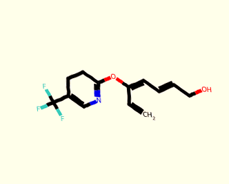 C=C/C(=C\C=C\CO)OC1=NC=C(C(F)(F)F)CC1